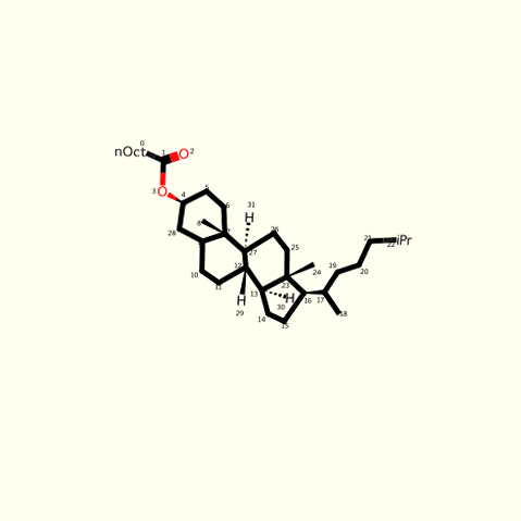 CCCCCCCCC(=O)O[C@H]1CC[C@@]2(C)C(CC[C@H]3[C@@H]4CC[C@H](C(C)CCCC(C)C)[C@@]4(C)CC[C@@H]32)C1